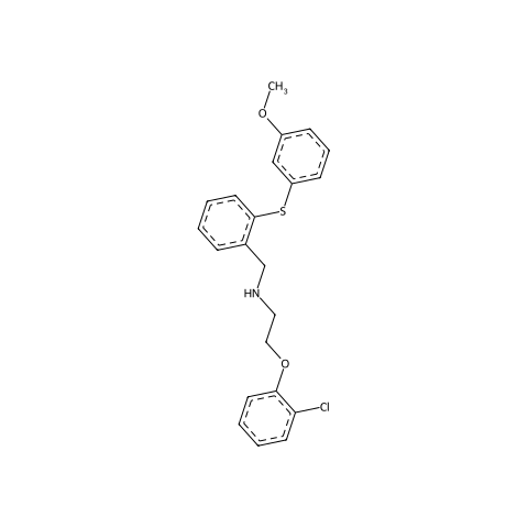 COc1cccc(Sc2ccccc2CNCCOc2ccccc2Cl)c1